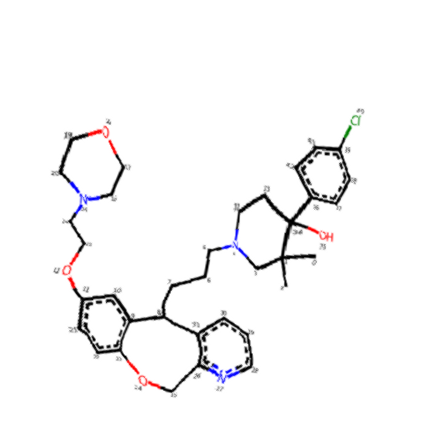 CC1(C)CN(CCCC2c3cc(OCCN4CCOCC4)ccc3OCc3ncccc32)CCC1(O)c1ccc(Cl)cc1